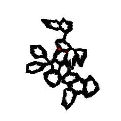 c1ccc(C2(c3ccccc3)c3ccccc3-c3c(N(c4ccc5c6ccccc6c6ccccc6c5c4)c4ccccc4-c4cccc(-c5cccc6ccccc56)c4)cccc32)cc1